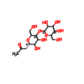 CC(=O)C[C@@H]1OC(CO)[C@@H](O[C@@H]2OC(CO)[C@H](O)C(O)C2O)C(O)C1O